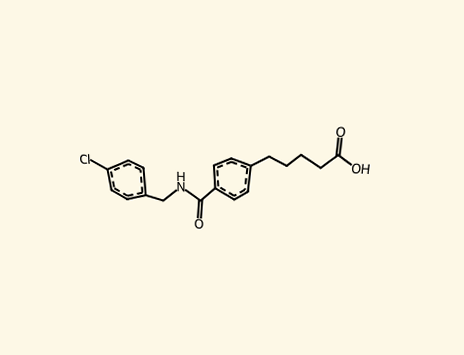 O=C(O)CCCCc1ccc(C(=O)NCc2ccc(Cl)cc2)cc1